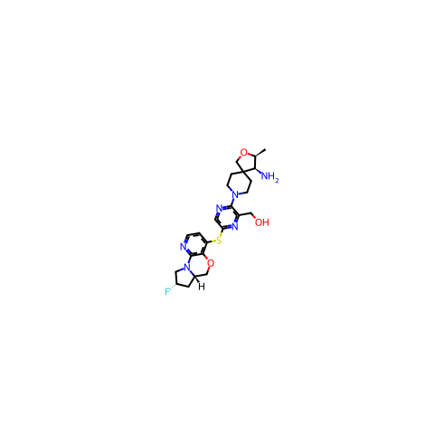 C[C@@H]1OCC2(CCN(c3ncc(Sc4ccnc5c4OC[C@@H]4C[C@H](F)CN54)nc3CO)CC2)[C@@H]1N